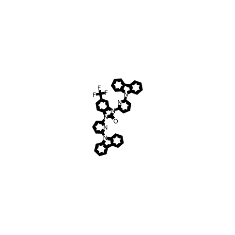 O=c1n(-c2cccc(-n3c4ccccc4c4ccccc43)n2)c2ccc(C(F)(F)F)cc2n1-c1cccc(-n2c3ccccc3c3ccccc32)n1